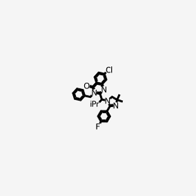 CC(C)C(c1nc2cc(Cl)ccc2c(=O)n1Cc1ccccc1)N1CC(C)(C)N=C1c1ccc(F)cc1